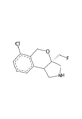 FC[C@]12CNCC1c1cccc(Cl)c1CO2